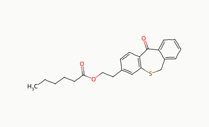 CCCCCC(=O)OCCc1ccc2c(c1)SCc1ccccc1C2=O